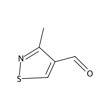 Cc1nscc1C=O